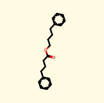 O=C(CCCc1ccccc1)OCCCCc1ccccc1